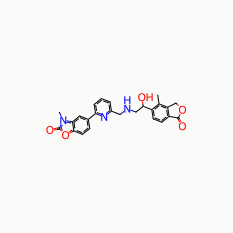 Cc1c(C(O)CNCc2cccc(-c3ccc4oc(=O)n(C)c4c3)n2)ccc2c1COC2=O